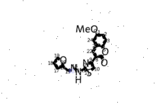 COc1ccc2oc(=O)c(-c3csc(N/N=C/c4ccco4)n3)cc2c1